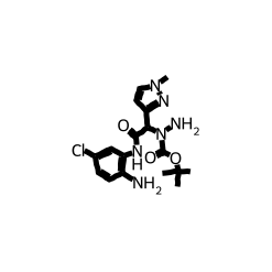 Cn1ccc(C(C(=O)Nc2cc(Cl)ccc2N)N(N)C(=O)OC(C)(C)C)n1